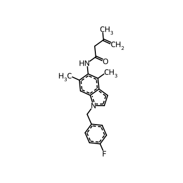 C=C(C)CC(=O)Nc1c(C)cc2c(ccn2Cc2ccc(F)cc2)c1C